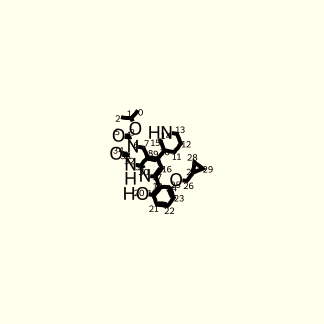 CC(C)OC(=O)N1Cc2c(C3CCCNC3)cc(-c3c(O)cccc3OCC3CC3)nc2NC1=O